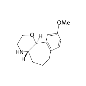 COc1ccc2c(c1)[C@@H]1OCCN[C@H]1CCC2